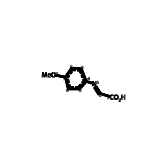 COc1ccc(N=CC(=O)O)cc1